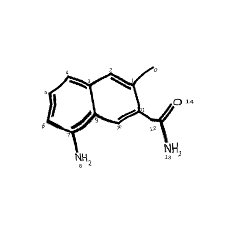 Cc1cc2cccc(N)c2cc1C(N)=O